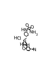 Cl.N#Cc1ccc2c(c1)[C@@H]1CN(CC[C@H]3CC[C@H](Nc4c(N)c(=O)c4=O)CC3)C[C@H]1CO2